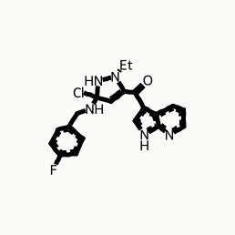 CCN1NC(Cl)(NCc2ccc(F)cc2)C=C1C(=O)c1c[nH]c2ncccc12